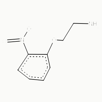 NCCOc1ccccc1[N+](=O)[O-]